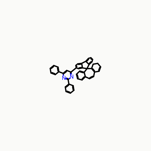 C1=CC2=C(CC1)C1(c3ccccc3C=C2)c2ccccc2-c2ccc(-c3cc(-c4ccccc4)nc(-c4ccccc4)n3)cc21